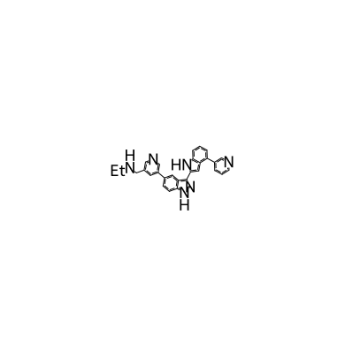 CCNCc1cncc(-c2ccc3[nH]nc(-c4cc5c(-c6cccnc6)cccc5[nH]4)c3c2)c1